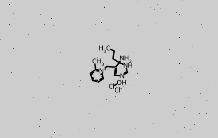 CCCC1(N)NC=NC=C1C[n+]1ccccc1C.OCl.[Cl-]